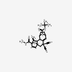 C=C1C2C3C(=CC4CCC3N4C(=O)OC(C)(C)C)C(C#N)(C#N)CC23C=CC1(C(=O)OC)O3